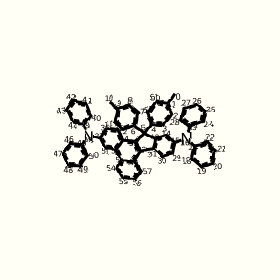 Cc1ccc(C2(c3ccc(C)cc3)c3cc(N(c4ccccc4)c4ccccc4)ccc3-c3c2c2ccc(N(c4ccccc4)c4ccccc4)cc2c2ccccc32)cc1